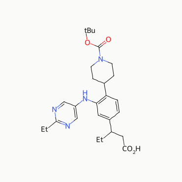 CCc1ncc(Nc2cc(C(CC)CC(=O)O)ccc2C2CCN(C(=O)OC(C)(C)C)CC2)cn1